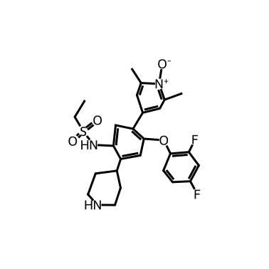 CCS(=O)(=O)Nc1cc(-c2cc(C)[n+]([O-])c(C)c2)c(Oc2ccc(F)cc2F)cc1C1CCNCC1